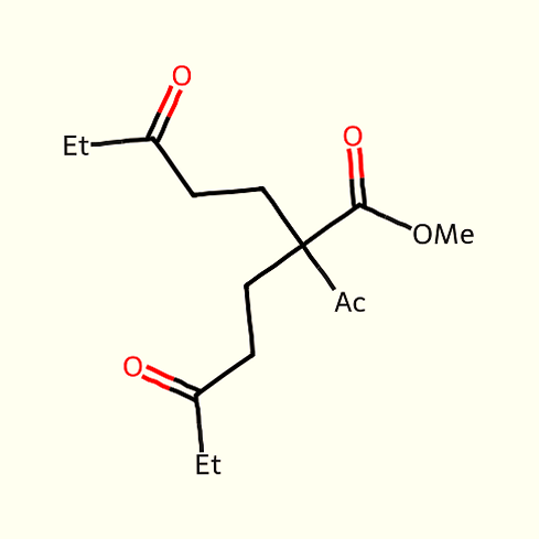 CCC(=O)CCC(CCC(=O)CC)(C(C)=O)C(=O)OC